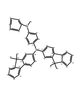 CN(c1ccccc1)c1ccc(N(c2ccc3c(c2)C(C)(C)c2ccccc2-3)c2ccc3c(c2)C(C)(C)c2ccccc2-3)cc1